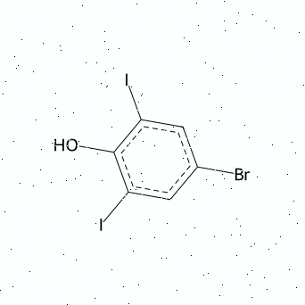 Oc1c(I)cc(Br)cc1I